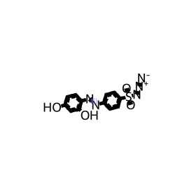 [N-]=[N+]=NS(=O)(=O)c1ccc(/N=N/c2ccc(O)cc2O)cc1